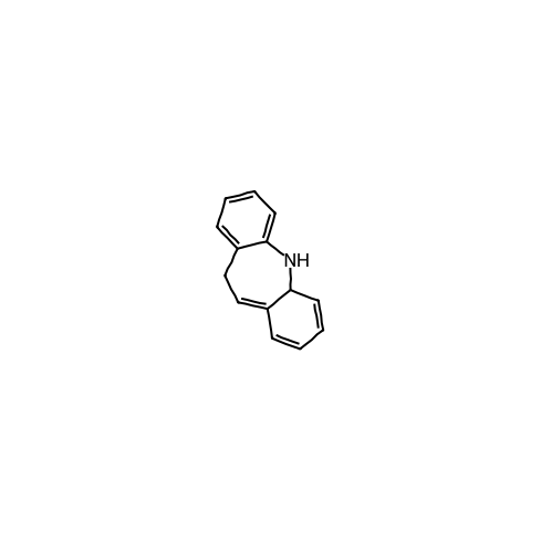 C1=CC2=CCc3ccccc3NC2C=C1